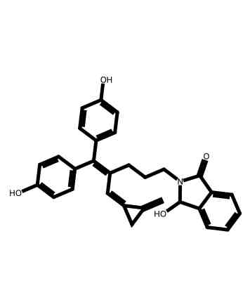 C=C1C/C1=C/C(CCCN1C(=O)c2ccccc2C1O)=C(c1ccc(O)cc1)c1ccc(O)cc1